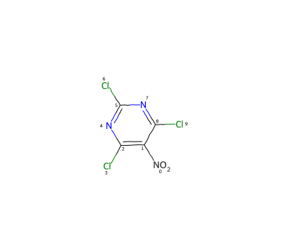 O=[N+]([O-])c1c(Cl)nc(Cl)nc1Cl